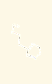 O=COCCC1=CCCN=C1